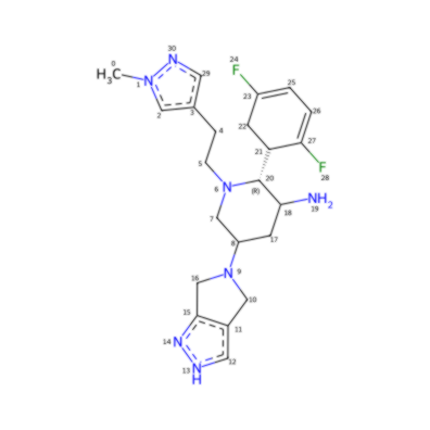 Cn1cc(CCN2CC(N3Cc4c[nH]nc4C3)CC(N)[C@H]2C2CC(F)=CC=C2F)cn1